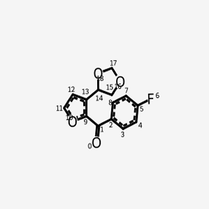 O=C(c1ccc(F)cc1)c1occc1C1COCO1